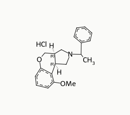 COc1cccc2c1[C@@H]1CN(C(C)c3ccccc3)C[C@@H]1CO2.Cl